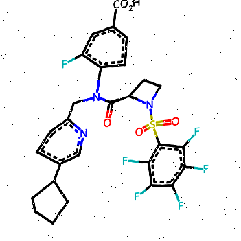 O=C(O)c1ccc(N(Cc2ccc(C3CCCC3)cn2)C(=O)[C@H]2CCN2S(=O)(=O)c2c(F)c(F)c(F)c(F)c2F)c(F)c1